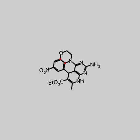 CCOC(=O)C1=C(C)Nc2nc(N)nc(N3CCOCC3)c2C1c1cccc([N+](=O)[O-])c1